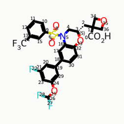 O=C(O)C1(C[C@H]2CN(S(=O)(=O)c3cccc(C(F)(F)F)c3)c3cc(-c4cc(F)cc(OC(F)F)c4)ccc3O2)COC1